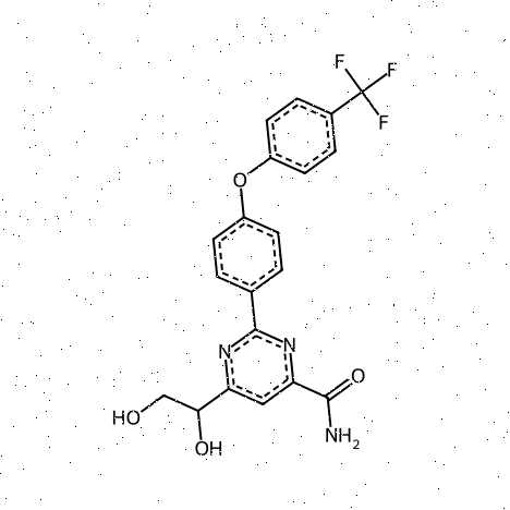 NC(=O)c1cc(C(O)CO)nc(-c2ccc(Oc3ccc(C(F)(F)F)cc3)cc2)n1